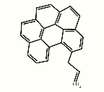 C=CCc1ccc2ccc3ccc4ccc5cccc6c1c2c3c4c56